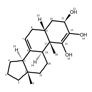 C[C@@]12CCC[C@H]1C1=CC[C@@H]3C[C@@H](O)C(O)=C(O)[C@]3(C)[C@H]1CC2